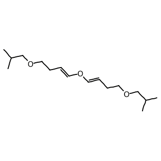 CC(C)COCCC=COC=CCCOCC(C)C